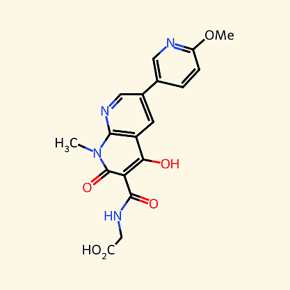 COc1ccc(-c2cnc3c(c2)c(O)c(C(=O)NCC(=O)O)c(=O)n3C)cn1